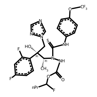 CCCC(F)OC(=O)NN(C(=S)Nc1ccc(OC(F)(F)F)cc1)[C@H](C)[C@](O)(Cn1cncn1)c1ccc(F)cc1F